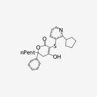 CCCCCC1(c2ccccc2)CC(O)=C(Sc2cccnc2C2CCCC2)C(=O)O1